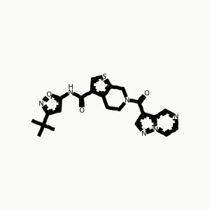 CC(C)(C)c1cc(NC(=O)c2csc3c2CCN(C(=O)c2cnn4ccncc24)C3)on1